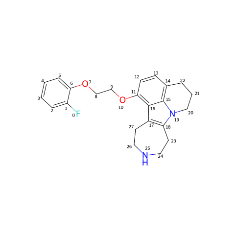 Fc1ccccc1OCCOc1ccc2c3c1c1c(n3CCC2)CCNCC1